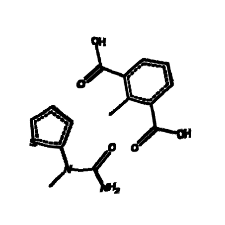 CN(C(N)=O)c1cccs1.Cc1c(C(=O)O)cccc1C(=O)O